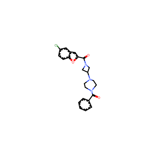 O=C(c1ccccc1)N1CCN(C2CN(C(=O)c3cc4cc(Cl)ccc4o3)C2)CC1